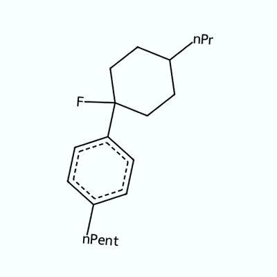 CCCCCc1ccc(C2(F)CCC(CCC)CC2)cc1